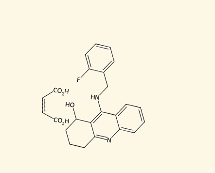 O=C(O)/C=C\C(=O)O.OC1CCCc2nc3ccccc3c(NCc3ccccc3F)c21